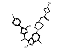 CCn1nc2c(C)cc(N3CCN(CC(=O)N4CC(O)C4)CC3)cc2c1N(C)c1nc(-c2ccc(F)cc2)c(C#N)s1